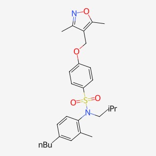 CCCCc1ccc(N(CC(C)C)S(=O)(=O)c2ccc(OCc3c(C)noc3C)cc2)c(C)c1